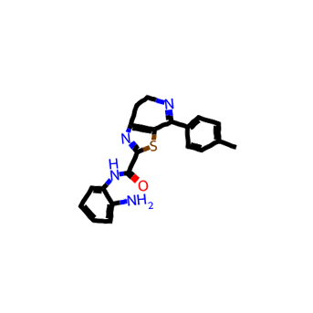 Cc1ccc(C2=NCCc3nc(C(=O)Nc4ccccc4N)sc32)cc1